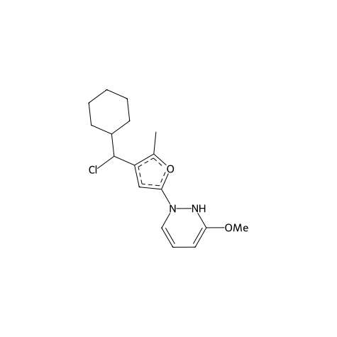 COC1=CC=CN(c2cc(C(Cl)C3CCCCC3)c(C)o2)N1